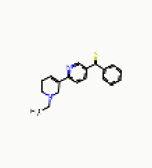 CCN1CCC=C(c2ccc(C(=S)c3ccccc3)cn2)C1